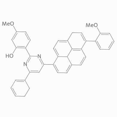 COc1ccc(-c2nc(C3=CC=CCC3)cc(C3=CC=C4C=CC5=C6C(=CC=C3C46)CC=C5c3ccccc3OC)n2)c(O)c1